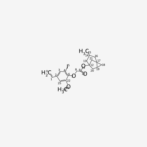 C=Cc1cc(I)c(OCC(=O)OC23CC(C)CC4(CC4C2)C3)c(OC)c1